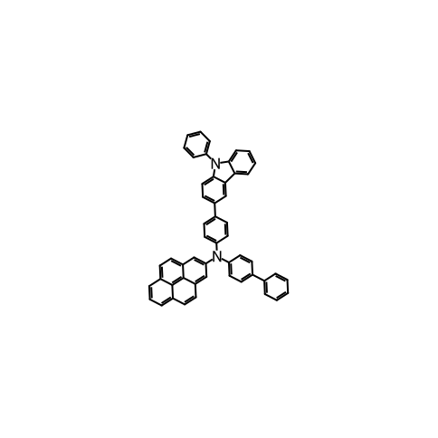 c1ccc(-c2ccc(N(c3ccc(-c4ccc5c(c4)c4ccccc4n5-c4ccccc4)cc3)c3cc4ccc5cccc6ccc(c3)c4c56)cc2)cc1